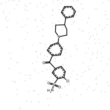 NS(=O)(=O)c1cc(C(=O)c2ccc(N3CCC(c4ccccc4)CC3)cc2)ccc1Cl